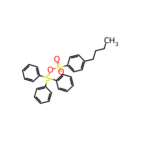 CCCCc1ccc(S(=O)(=O)OS(c2ccccc2)(c2ccccc2)c2ccccc2)cc1